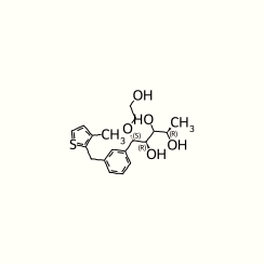 Cc1ccsc1Cc1cccc([C@H](OCCO)[C@H](O)C(O)[C@@H](C)O)c1